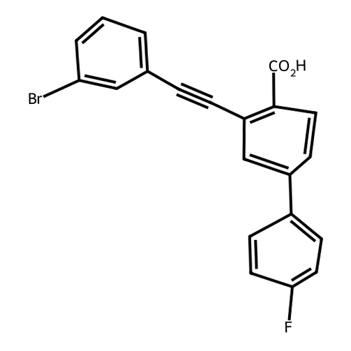 O=C(O)c1ccc(-c2ccc(F)cc2)cc1C#Cc1cccc(Br)c1